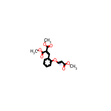 COC(=O)/C=C/Oc1ccccc1C=C(C(=O)OC)C(=O)OC